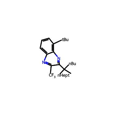 CCCCCCCC(C)(CCCC)c1nc2c(C(C)(C)C)cccc2nc1C(F)(F)F